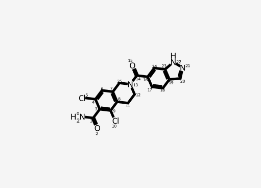 NC(=O)c1c(Cl)cc2c(c1Cl)CCN(C(=O)c1ccc3cn[nH]c3c1)C2